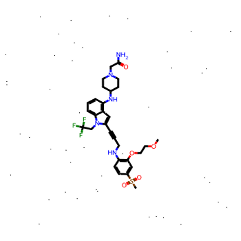 COCCOc1cc(S(C)(=O)=O)ccc1NCC#Cc1cc2c(NC3CCN(CC(N)=O)CC3)cccc2n1CC(F)(F)F